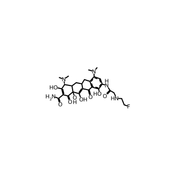 CN(C)c1cc(NC(=O)CNCCF)c(O)c2c1CC1CC3[C@H](N(C)C)C(O)=C(C(N)=O)C(=O)C3(O)C(O)=C1C2=O